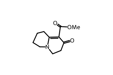 COC(=O)C1=C2CCCCN2CCC1=O